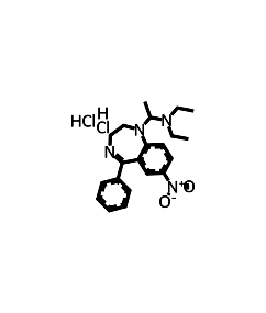 CCN(CC)C(C)N1CCN=C(c2ccccc2)c2cc([N+](=O)[O-])ccc21.Cl.Cl